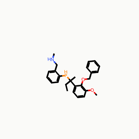 CCC(C)(Pc1ccccc1CNC)c1cccc(OC)c1OCc1ccccc1